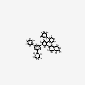 c1ccc(-c2ccccc2-c2ccc(-c3nc(-c4ccncc4)nc(-c4ccncc4)n3)cc2-c2ccc3ccccc3c2)cc1